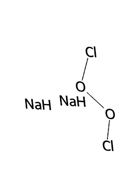 ClOOCl.[NaH].[NaH]